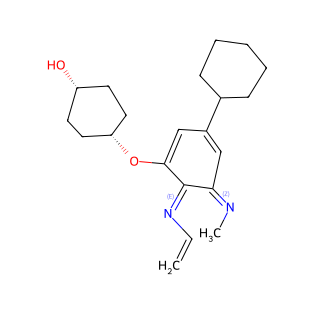 C=C/N=C1/C(O[C@H]2CC[C@@H](O)CC2)=CC(C2CCCCC2)=C/C1=N/C